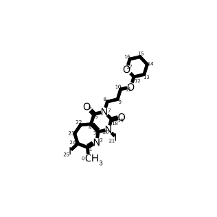 CC1=Nc2c(c(=O)n(CCCOC3CCCCO3)c(=O)n2I)CCC1I